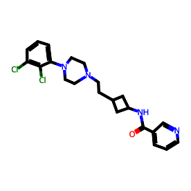 O=C(NC1CC(CCN2CCN(c3cccc(Cl)c3Cl)CC2)C1)c1cccnc1